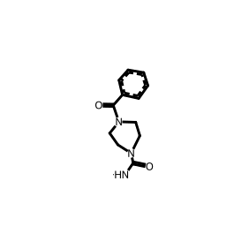 [NH]C(=O)N1CCN(C(=O)c2ccccc2)CC1